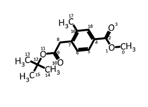 COC(=O)c1ccc(CC(=O)OC(C)(C)C)c(C)c1